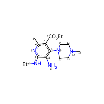 CCNc1nc(C)c(C(=O)OCC)c(N2CCN(C)CC2)c1N